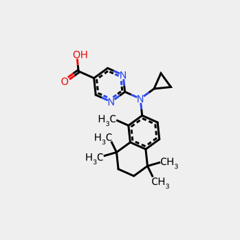 Cc1c(N(c2ncc(C(=O)O)cn2)C2CC2)ccc2c1C(C)(C)CCC2(C)C